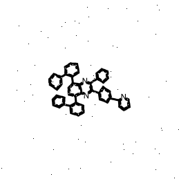 c1ccc(-c2ccccc2-c2ccc(-c3ccccc3-c3ccccc3)c3nc(-c4ccc(-c5ccccn5)cc4)c(-c4ccccc4)nc23)cc1